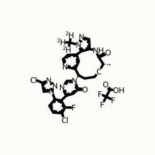 O=C(O)C(F)(F)F.[2H]C([2H])([2H])n1ncc2c1-c1ccnc(c1)[C@@H](n1cnc(-c3c(-n4cc(Cl)nn4)ccc(Cl)c3F)cc1=O)CCC[C@@H](C)C(=O)N2